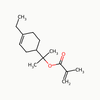 C=C(C)C(=O)OC(C)(C)C1CC=C(CC)CC1